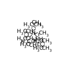 Cc1cc(Nc2ccc(C(C)(C)C)cc2-c2ccc3c(c2)C(C)(C)CCC3(C)C)cc(N(C2=CC=C(C(C)(C)C)CC2)c2ccc3c(c2)C(C)(C)CCC3(C)C)c1